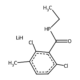 CCPC(=O)c1c(Cl)ccc(C)c1Cl.[LiH]